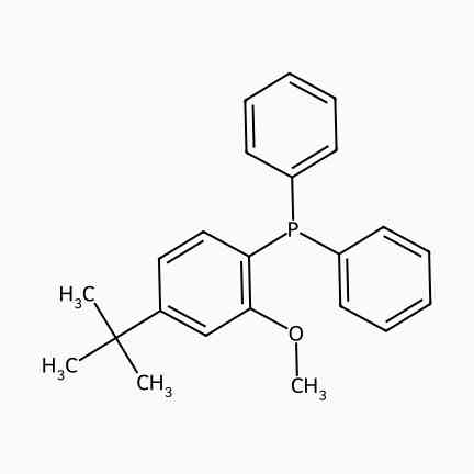 COc1cc(C(C)(C)C)ccc1P(c1ccccc1)c1ccccc1